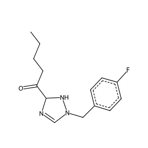 CCCCC(=O)C1N=CN(Cc2ccc(F)cc2)N1